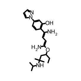 CCC(CC(C)(C)NC(C)C)O/C(N)=C/C=C(\N)c1ccc(-n2cccn2)cc1O